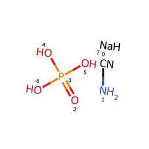 N#CN.O=P(O)(O)O.[NaH]